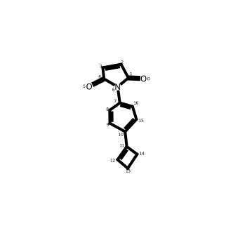 O=C1C=CC(=O)N1c1ccc(C2=CCC2)cc1